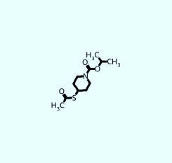 CC(=O)SC1CCN(C(=O)OC(C)C)CC1